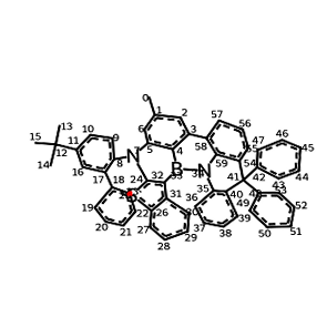 Cc1cc2c3c(c1)N(c1ccc(C(C)(C)C)cc1-c1ccccc1)c1sc4ccccc4c1B3N1c3ccccc3C(c3ccccc3)(c3ccccc3)c3cccc-2c31